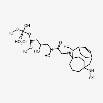 CCCNC12CCCC(NCC(=O)N(O)CC(O)C[C@@](OO)(OP(=O)(O)OO)C(=O)O)(CC1)C(O)C1C=CC(CC1)C2